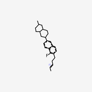 C/C=C/CCc1ccc2cc(C3CCC4CC(C)CCC4C3)ccc2c1F